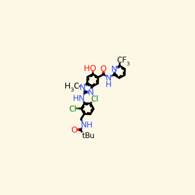 Cn1c(Nc2c(Cl)ccc(CNC(=O)C(C)(C)C)c2Cl)nc2cc(C(=O)Nc3cccc(C(F)(F)F)n3)c(O)cc21